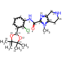 Cn1c(C(=O)Nc2cccc(B3OC(C)(C)C(C)(C)O3)c2Cl)nc2c1CCNC2